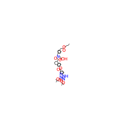 CCCCOC(=O)Cc1ccc(CN(CC(=O)O)C(=O)CC2CCCc3cc(OC(=O)c4ccc(N/C(=N/C(=O)OC(C)(C)C)NC(=O)OC(C)(C)C)cc4)ccc32)cc1